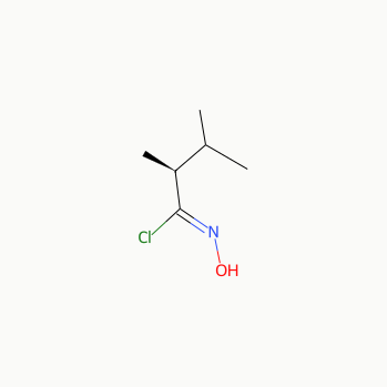 CC(C)[C@H](C)/C(Cl)=N/O